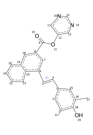 Cc1cc(/C=C/c2cc(C(=O)Oc3cncnc3)cc3ccccc23)cc(C)c1O